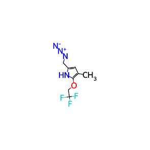 Cc1cc(CN=[N+]=[N-])[nH]c1OCC(F)(F)F